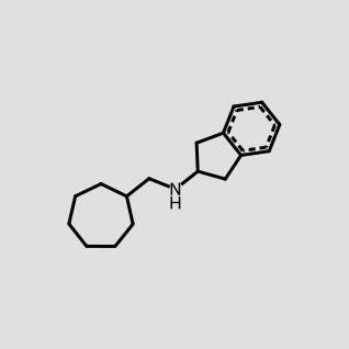 c1ccc2c(c1)CC(NCC1CCCCCC1)C2